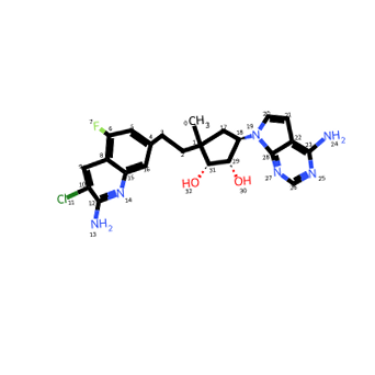 CC1(CCc2cc(F)c3cc(Cl)c(N)nc3c2)C[C@@H](n2ccc3c(N)ncnc32)[C@H](O)[C@@H]1O